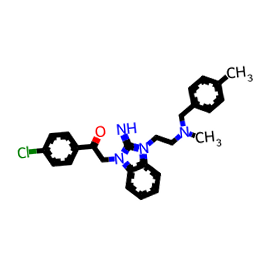 Cc1ccc(CN(C)CCn2c(=N)n(CC(=O)c3ccc(Cl)cc3)c3ccccc32)cc1